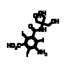 Nc1c(I)c(C(=O)O)c(I)c(C(=O)NC(CO)(CO)CO)c1I